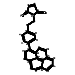 O=C1C=CC(=O)N1CCc1ccc(-c2ccc3ccc4cccc5ccc2c3c45)cc1